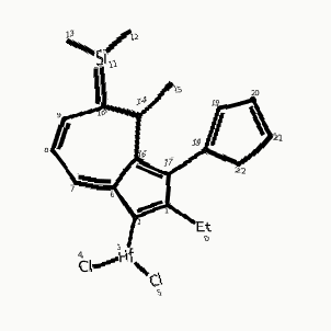 CCC1=[C]([Hf]([Cl])[Cl])C2=CC=CC(=[Si](C)C)C(C)C2=C1C1=CC=CC1